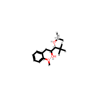 COc1ccccc1CC(O)[C@H](O[SiH](C)C)C(C)(C)C